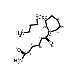 CCCCCCCCCCCCCN.NC(=O)CCCCC(=O)N1CCCCCC1